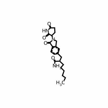 CCCCCCC(Cc1ccc2c(c1)CN(C1CCC(=O)NC1=O)C2=O)C(N)=O